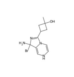 CC1(O)CC(C2=NC(N)(Br)C3=CNC=CN32)C1